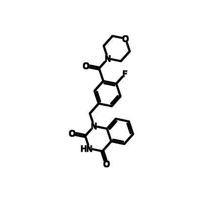 O=C(c1cc(Cn2c(=O)[nH]c(=O)c3ccccc32)ccc1F)N1CCOCC1